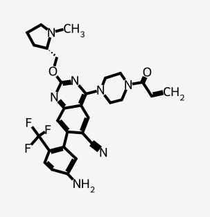 C=CC(=O)N1CCN(c2nc(OC[C@@H]3CCCN3C)nc3cc(-c4cc(N)ccc4C(F)(F)F)c(C#N)cc23)CC1